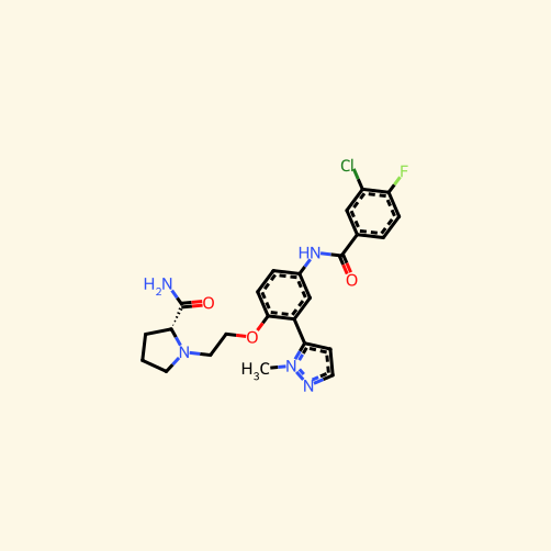 Cn1nccc1-c1cc(NC(=O)c2ccc(F)c(Cl)c2)ccc1OCCN1CCC[C@@H]1C(N)=O